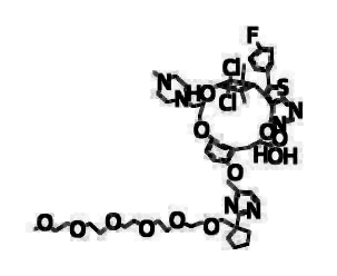 COCCOCCOCCOCCOCCOCC1(c2nccc(COc3ccc4cc3C[C@H](C(=O)O)Oc3ncnc5sc(-c6ccc(F)cc6)c(c35)-c3c(C)c(Cl)c(c(Cl)c3C)O[C@H](CN3CCN(C)CC3)CO4)n2)CCCC1